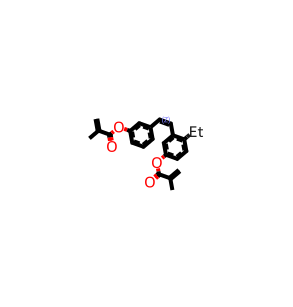 C=C(C)C(=O)Oc1cccc(/C=C\c2cc(OC(=O)C(=C)C)ccc2CC)c1